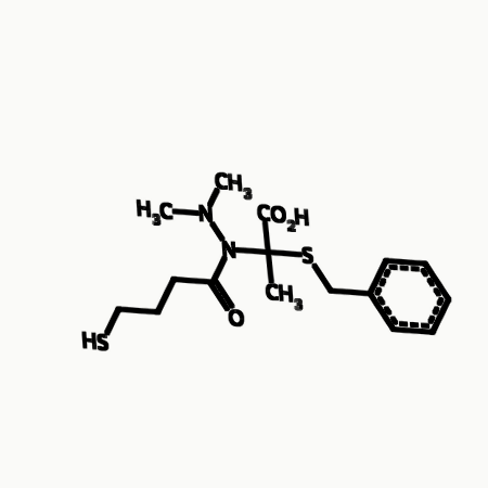 CN(C)N(C(=O)CCCS)C(C)(SCc1ccccc1)C(=O)O